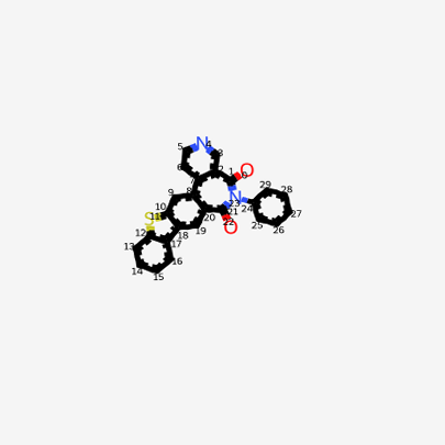 O=c1c2cnccc2c2cc3sc4ccccc4c3cc2c(=O)n1-c1ccccc1